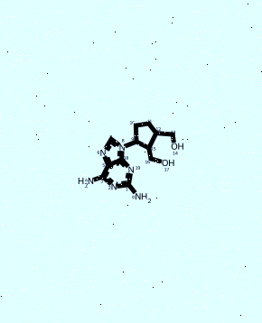 Nc1nc(N)c2ncn(C3CCC(CO)C3CO)c2n1